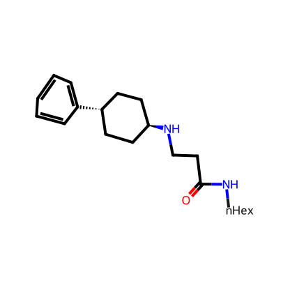 CCCCCCNC(=O)CCN[C@H]1CC[C@H](c2ccccc2)CC1